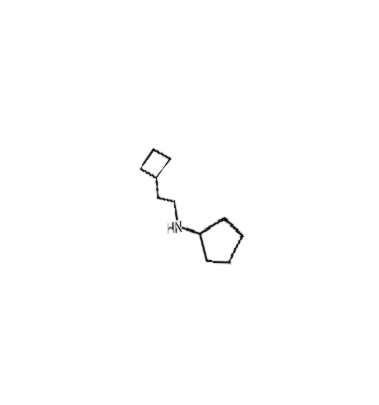 C1CC(CCNC2CCCC2)C1